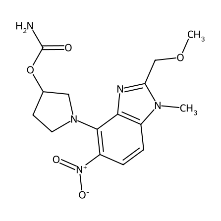 COCc1nc2c(N3CCC(OC(N)=O)C3)c([N+](=O)[O-])ccc2n1C